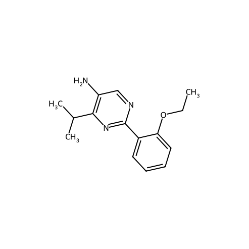 CCOc1ccccc1-c1ncc(N)c(C(C)C)n1